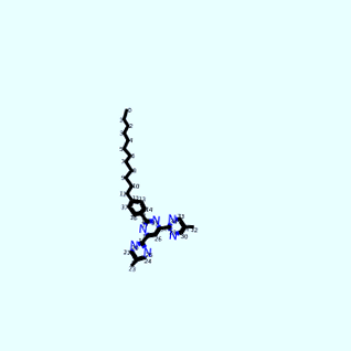 CCCCCCCCCCCCc1ccc(-c2nc(-c3ncc(C)cn3)cc(-c3ncc(C)cn3)n2)cc1